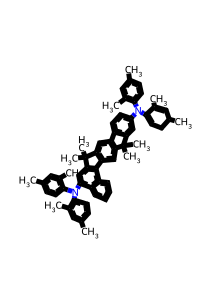 CC1=CC(C)CC=C1N(c1ccc2c(c1)C(C)(C)c1cc3c(cc1-2)C(C)(C)c1cc(N(c2ccc(C)cc2C)c2ccc(C)cc2C)c2ccccc2c1-3)c1ccc(C)cc1C